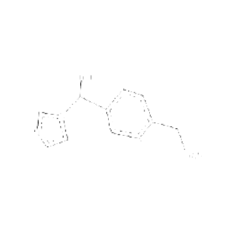 CCCC(c1ccc(COC)cc1)n1ccnc1